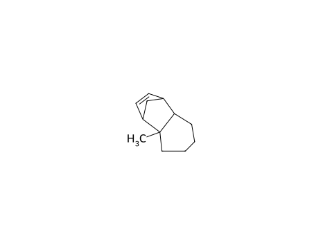 CC12CCCCC1C1C=CC2C1